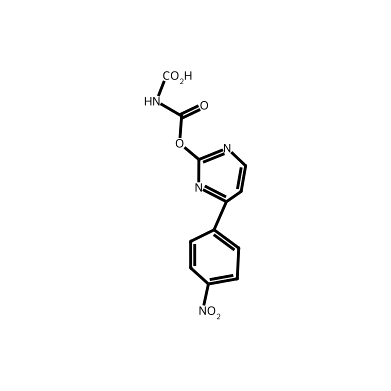 O=C(O)NC(=O)Oc1nccc(-c2ccc([N+](=O)[O-])cc2)n1